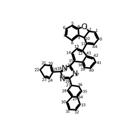 C1=CC2Oc3ccccc3C2C(c2ccc(-c3nc(C4=CCCC=C4)nc(C4C=c5ccccc5=CC4)n3)c3ccccc23)=C1